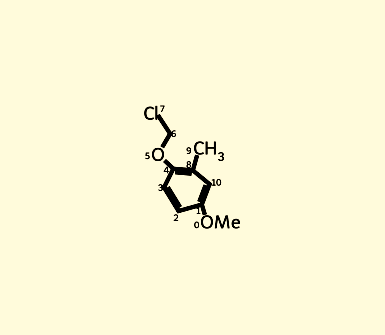 COc1ccc(OCCl)c(C)c1